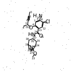 CC#C[C@H](C)Oc1cc(N)c(Cl)cc1C(=O)N[C@H]1CC2C[C@@H](OC)C(C1)N2C